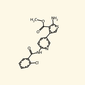 COC(=O)c1c(-c2ccc(NC(=O)c3ccccc3Cl)nc2)csc1N